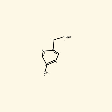 [CH2]c1ccc(OCCCCC)cc1